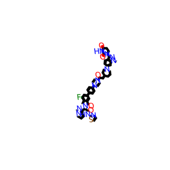 Cn1nc(N2CCC(=O)NC2=O)c2ccc(N3CCCC(CC(=O)N4CCN(c5ccc(-c6cc(F)c7c(c6)C(=O)N(C(C(=O)Nc6nccs6)c6ncn8c6CCC8)C7)cc5)CC4)CC3)cc21